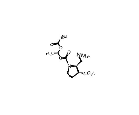 CCCCC(=O)OC(C)OC(=O)N1CC[C@H](C(=O)O)[C@@H]1CNC